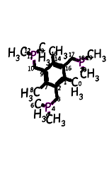 Cc1c(CP(C)C)c(C)c(CP(C)C)c(C)c1CP(C)C